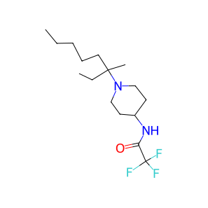 CCCCCC(C)(CC)N1CCC(NC(=O)C(F)(F)F)CC1